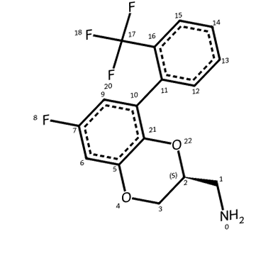 NC[C@H]1COc2cc(F)cc(-c3ccccc3C(F)(F)F)c2O1